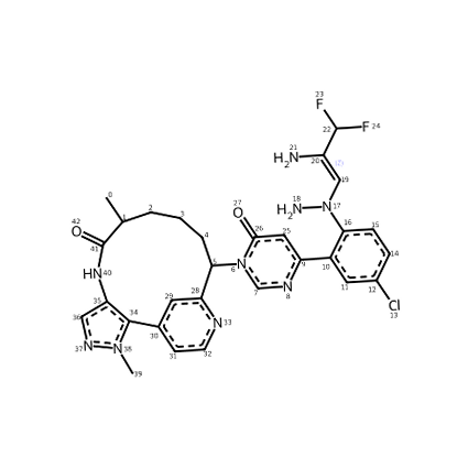 CC1CCCC(n2cnc(-c3cc(Cl)ccc3N(N)/C=C(\N)C(F)F)cc2=O)c2cc(ccn2)-c2c(cnn2C)NC1=O